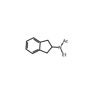 CCN(C(C)=O)C1Cc2ccccc2C1